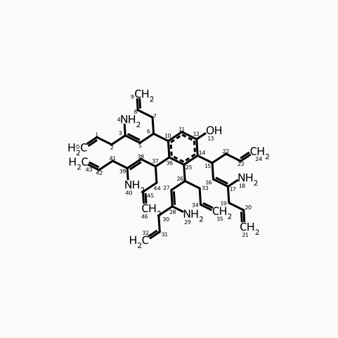 C=CCC(N)=CC(CC=C)c1cc(O)c(C(C=C(N)CC=C)CC=C)c(C(C=C(N)CC=C)CC=C)c1C(C=C(N)CC=C)CC=C